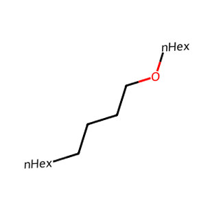 CCC[CH]CCOCCCCCCCCCC